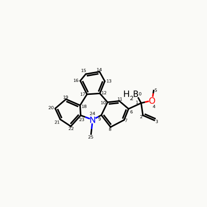 BC(C=C)(OC)c1ccc2c(c1)-c1ccccc1-c1ccccc1N2C